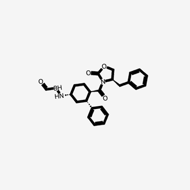 O=CBN[C@@H]1CC[C@@H](C(=O)N2C(=O)OC[C@H]2Cc2ccccc2)[C@H](c2ccccc2)C1